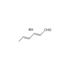 C/C=C/C=C/C=O.[KH]